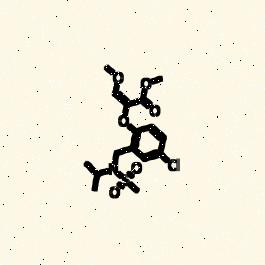 COC=C(Oc1ccc(Cl)cc1CN(C(C)C)S(C)(=O)=O)C(=O)OC